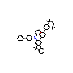 CC1(C)CCC(C)(C)c2cc(-c3ccc(-c4cc5c(cc4N(c4ccccc4)c4ccc(-c6ccccc6)cc4)C(C)(C)c4ccccc4-5)cc3)ccc21